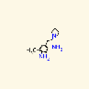 Cc1cc(CCN2CCCC2)ccc1N.N